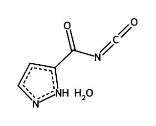 O.O=C=NC(=O)c1ccn[nH]1